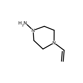 C=CN1CCN(N)CC1